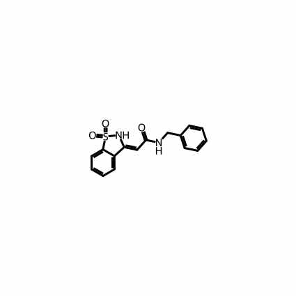 O=C(C=C1NS(=O)(=O)c2ccccc21)NCc1ccccc1